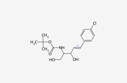 CC(C)(C)OC(=O)NC(CO)C(O)/C=C/c1ccc(Cl)cc1